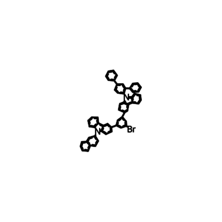 Brc1cc(-c2ccc3c(c2)c2ccccc2n3-c2ccc3ccccc3c2)cc(-c2ccc3c(c2)c2ccccc2n3-c2ccc(-c3ccccc3)cc2-c2ccccc2)c1